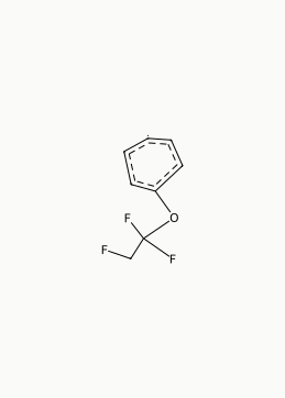 FCC(F)(F)Oc1cc[c]cc1